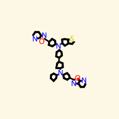 c1ccc(N(c2ccc(-c3ccc(N(c4ccc(-c5nc6cccnc6o5)cc4)c4ccc5sccc5c4)cc3)cc2)c2ccc(-c3nc4cccnc4o3)cc2)cc1